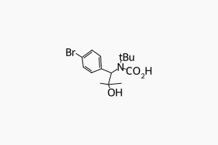 CC(C)(O)C(c1ccc(Br)cc1)N(C(=O)O)C(C)(C)C